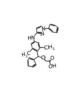 Cc1cc(Nc2ccn(-c3ccccc3)n2)cc(C)c1C(OCC(=O)O)c1ccccc1